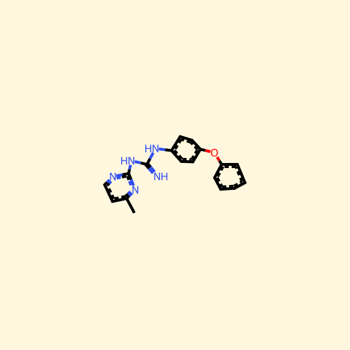 Cc1ccnc(NC(=N)Nc2ccc(Oc3ccccc3)cc2)n1